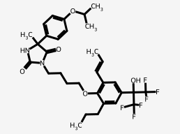 C/C=C/c1cc(C(O)(C(F)(F)F)C(F)(F)F)cc(CCC)c1OCCCCN1C(=O)NC(C)(c2ccc(OC(C)C)cc2)C1=O